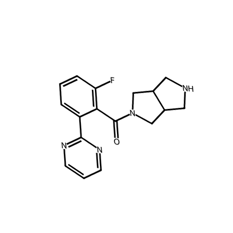 O=C(c1c(F)cccc1-c1ncccn1)N1CC2CNCC2C1